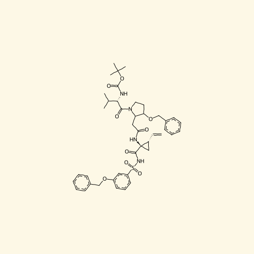 C=C[C@@H]1C[C@]1(NC(=O)CC1C(OCc2ccccc2)CCN1C(=O)[C@@H](NC(=O)OC(C)(C)C)C(C)C)C(=O)NS(=O)(=O)c1cccc(OCc2ccccc2)c1